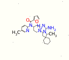 Cc1ccc(N(C(=O)c2ccco2)C2CCN(CCC3(C(C)N=C(N)N)CCCCC3)CC2)nc1